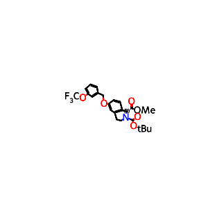 COC(=O)[C@H]1c2ccc(OCc3cccc(OC(F)(F)F)c3)cc2CCN1C(=O)OC(C)(C)C